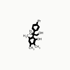 Cc1cc(C)c(C(C)(CO)c2ccc(C(C)C)cc2)c(O)c1C